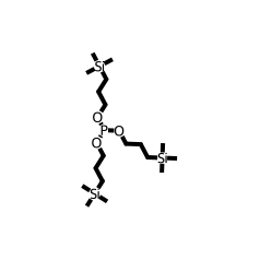 C[Si](C)(C)CCCOP(OCCC[Si](C)(C)C)OCCC[Si](C)(C)C